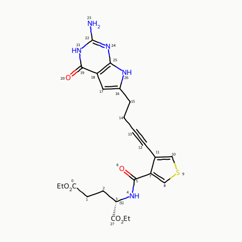 CCOC(=O)CC[C@H](NC(=O)c1cscc1C#CCCc1cc2c(=O)[nH]c(N)nc2[nH]1)C(=O)OCC